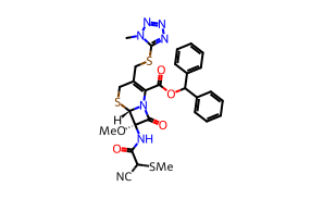 CO[C@@]1(NC(=O)C(C#N)SC)C(=O)N2C(C(=O)OC(c3ccccc3)c3ccccc3)=C(CSc3nnnn3C)CS[C@H]21